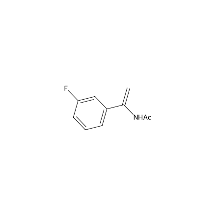 C=C(NC(C)=O)c1cccc(F)c1